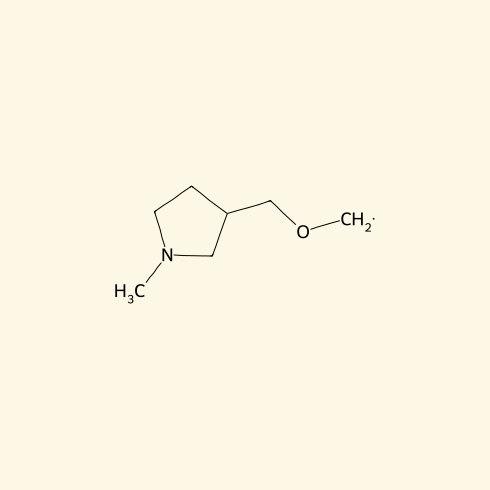 [CH2]OCC1CCN(C)C1